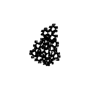 N#Cc1c(-n2c3ccccc3c3ccccc32)c(-n2c3ccccc3c3ccccc32)c(C#N)c(-n2c3ccc(-c4cccc5c6ccccc6c6ccccc6c45)cc3c3ccc4c5ccccc5oc4c32)c1-n1c2ccccc2c2ccccc21